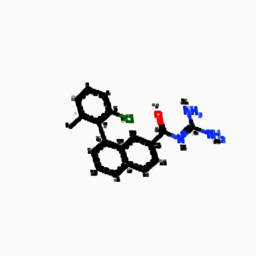 Cc1cccc(Cl)c1-c1cccc2ccc(C(=O)N=C(N)N)cc12